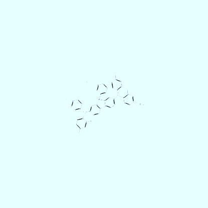 CCCCCCc1cccc(C2(C)c3cc(N(c4ccc(C)cc4)c4c(C)cc(CCCC)cc4C)ccc3-c3ccc(N(c4ccc(C)cc4)c4c(C)cc(CCCC)cc4C)cc32)c1